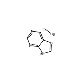 [Cl][Hg].c1ncc2nc[nH]c2n1